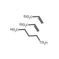 C=CC(=O)OCC.C=CC(=O)OCC.O=C(O)CCCC(=O)O